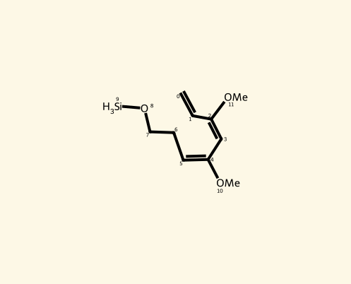 C=CC(=CC(=CCCO[SiH3])OC)OC